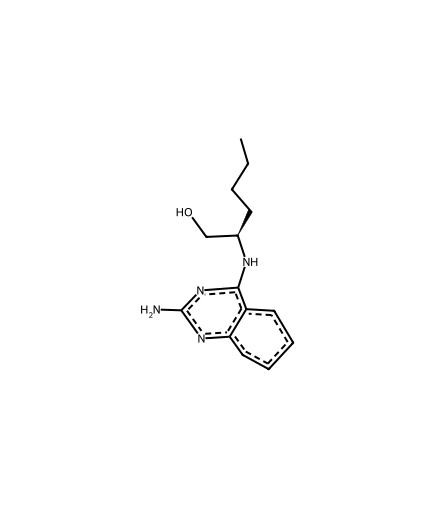 CCCC[C@H](CO)Nc1nc(N)nc2ccccc12